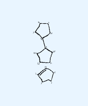 C1=CCCC1.C1CCC(C2CCCC2)C1